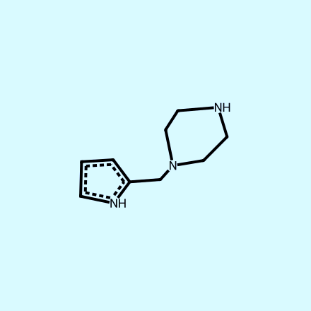 c1c[nH]c(CN2CCNCC2)c1